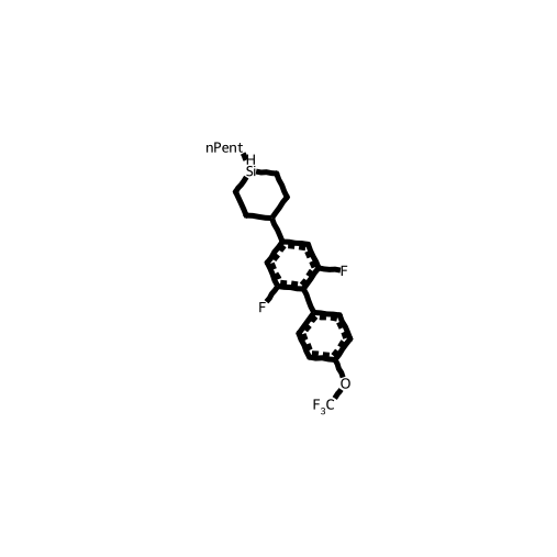 CCCCC[SiH]1CCC(c2cc(F)c(-c3ccc(OC(F)(F)F)cc3)c(F)c2)CC1